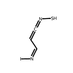 SN=C=C/C=N\I